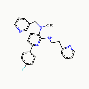 O=CN(Cc1cccnc1)c1ccc(-c2ccc(F)cc2)nc1NCCc1ccccn1